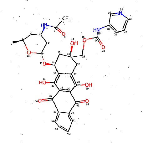 C[C@H]1C[C@@H](NC(=O)C(F)(F)F)C[C@H](O[C@H]2C[C@](O)(COC(=O)Nc3cccnc3)Cc3c(O)c4c(c(O)c32)C(=O)c2ccccc2C4=O)O1